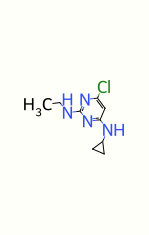 CCNc1nc(Cl)cc(NC2CC2)n1